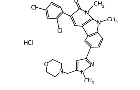 Cl.Cn1nc(-c2ccc3c(c2)c2cc(-c4ccc(Cl)cc4Cl)c(=O)n(C)c2n3C)cc1CN1CCOCC1